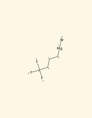 FC(F)(F)CC[CH2][Mg][Br]